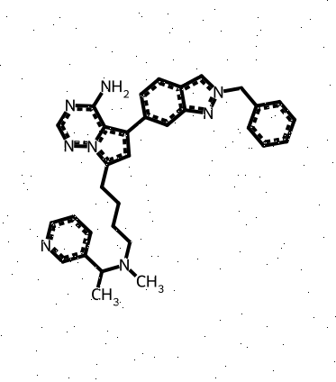 CC(c1cccnc1)N(C)CCCCc1cc(-c2ccc3cn(Cc4ccccc4)nc3c2)c2c(N)ncnn12